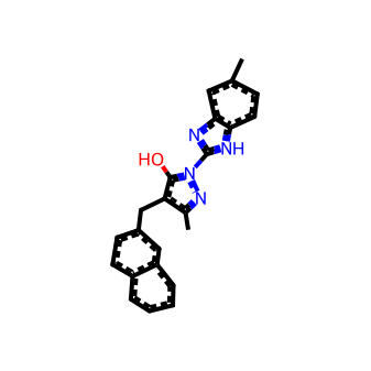 Cc1ccc2[nH]c(-n3nc(C)c(Cc4ccc5ccccc5c4)c3O)nc2c1